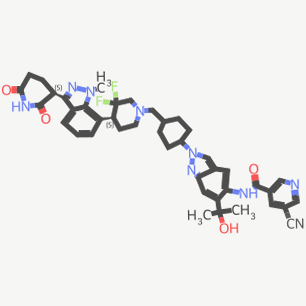 Cn1nc([C@@H]2CCC(=O)NC2=O)c2cccc([C@@H]3CCN(CC4CCC(n5cc6cc(NC(=O)c7cncc(C#N)c7)c(C(C)(C)O)cc6n5)CC4)CC3(F)F)c21